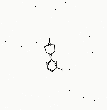 CN1CCN(c2nccc(I)n2)CC1